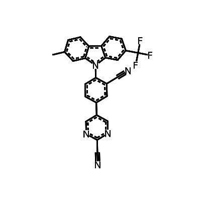 Cc1ccc2c3ccc(C(F)(F)F)cc3n(-c3ccc(-c4cnc(C#N)nc4)cc3C#N)c2c1